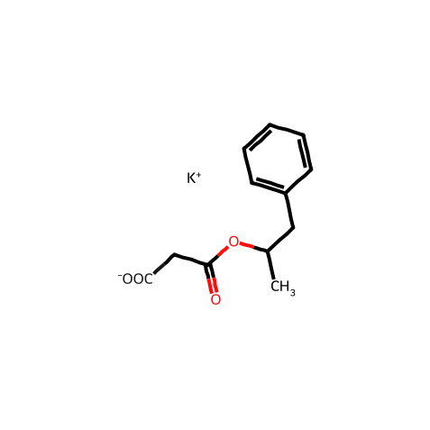 CC(Cc1ccccc1)OC(=O)CC(=O)[O-].[K+]